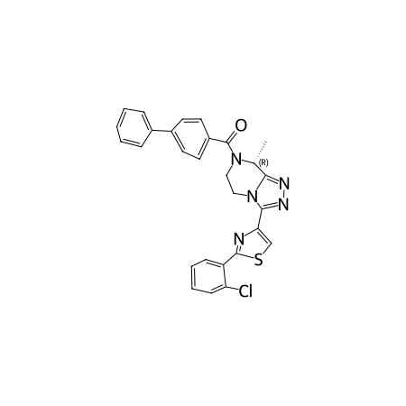 C[C@@H]1c2nnc(-c3csc(-c4ccccc4Cl)n3)n2CCN1C(=O)c1ccc(-c2ccccc2)cc1